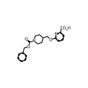 O=C(O)c1cccc(OCC2CCN(C(=O)OCc3ccccc3)CC2)n1